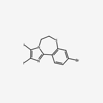 Brc1ccc2c(c1)SCCn1c-2nc(I)c1I